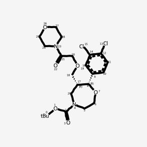 CC(C)(C)OC(=O)N1CCO[C@@H](c2ccc(Cl)c(Cl)c2)[C@@H](COCC(=O)N2CCOCC2)C1